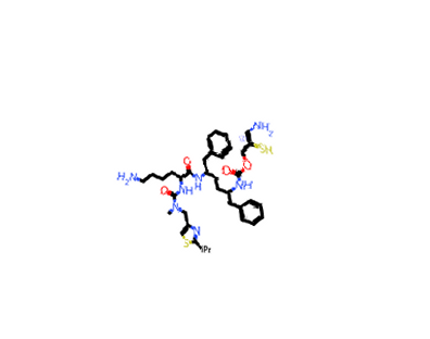 CC(C)c1nc(CN(C)C(=O)NC(CCCCN)C(=O)NC(CCC(Cc2ccccc2)NC(=O)OC/C(S)=C/N)Cc2ccccc2)cs1